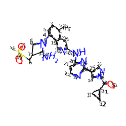 CC(C)c1ccc(N2C[C@H](CS(C)(=O)=O)[C@H]2N)c2cnc(Nc3ccnc(-c4cnn(C(=O)C5CC5)c4)n3)cc12